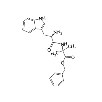 CC(C)(NC(=O)[C@H](N)Cc1c[nH]c2ccccc12)C(=O)OCc1ccccc1